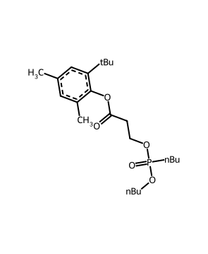 CCCCOP(=O)(CCCC)OCCC(=O)Oc1c(C)cc(C)cc1C(C)(C)C